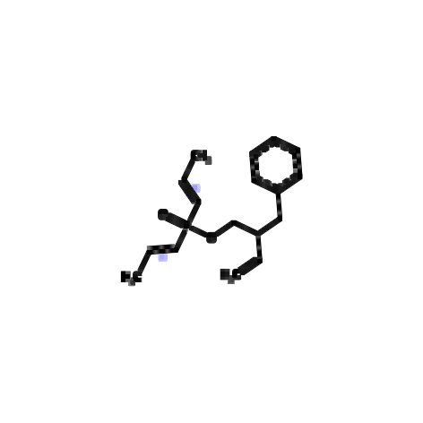 C=CC(COP(=O)(/C=C/C)/C=C/C)Cc1ccccc1